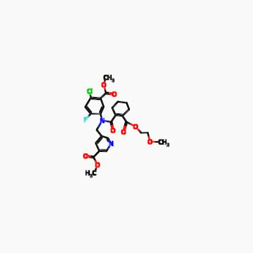 COCCOC(=O)C1=C(C(=O)N(Cc2cncc(C(=O)OC)c2)c2cc(C(=O)OC)c(Cl)cc2F)CCCC1